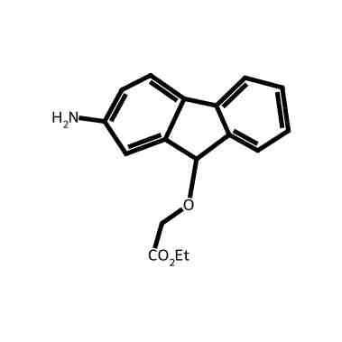 CCOC(=O)COC1c2ccccc2-c2ccc(N)cc21